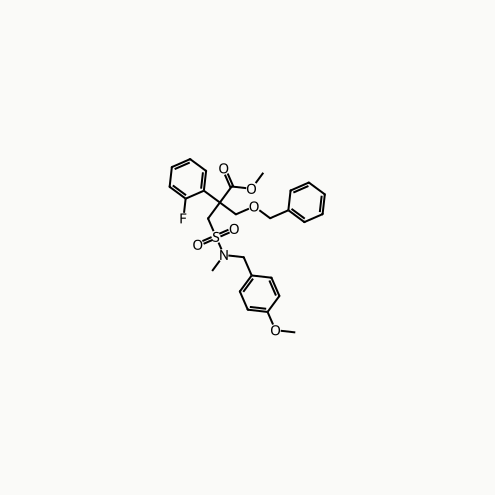 COC(=O)C(COCc1ccccc1)(CS(=O)(=O)N(C)Cc1ccc(OC)cc1)c1ccccc1F